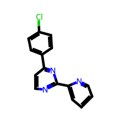 Clc1ccc(-c2ccnc(-c3ccccn3)n2)cc1